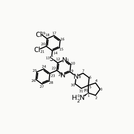 N[C@@H]1CCCC12CCN(c1cnc(Sc3cccc(Cl)c3Cl)c(-c3ccccc3)n1)CC2